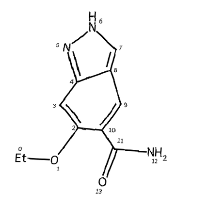 CCOc1cc2n[nH]cc2cc1C(N)=O